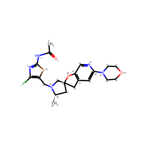 CC(=O)Nc1nc(F)c(CN2C[C@@]3(Cc4cc(N5CCOCC5)ncc4O3)C[C@@H]2C)s1